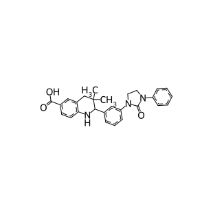 CC1(C)Cc2cc(C(=O)O)ccc2NC1c1cccc(N2CCN(c3ccccc3)C2=O)c1